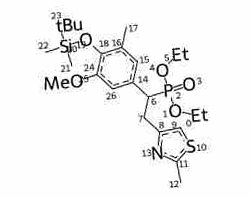 CCOP(=O)(OCC)C(Cc1csc(C)n1)c1cc(C)c(O[Si](C)(C)C(C)(C)C)c(OC)c1